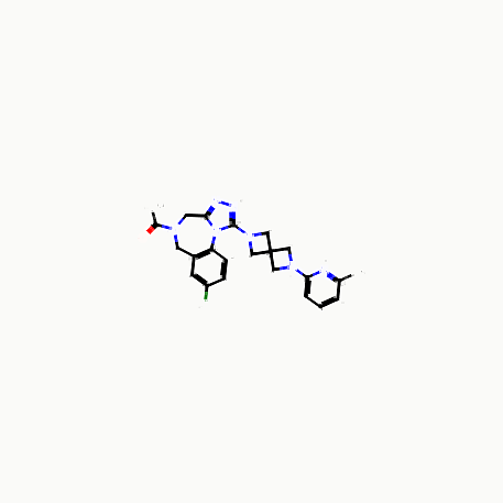 COC(=O)N1Cc2cc(Cl)ccc2-n2c(nnc2N2CC3(CN(c4cccc(C#N)n4)C3)C2)C1